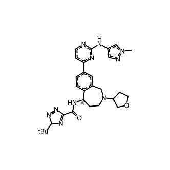 Cn1cc(Nc2nccc(-c3ccc4c(c3)CN(C3CCOC3)CC[C@H]4NC(=O)C3=NC(C(C)(C)C)N=N3)n2)cn1